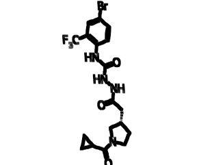 O=C(C[C@@H]1CCN(C(=O)C2CC2)C1)NNC(=O)Nc1ccc(Br)cc1C(F)(F)F